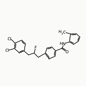 Cc1ccccc1NC(=O)c1ccc(CC(F)Cc2ccc(Cl)c(Cl)c2)cc1